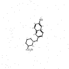 CCOC(=O)C1CCCN(Cc2ccc3cc(N=O)ccc3n2)C1